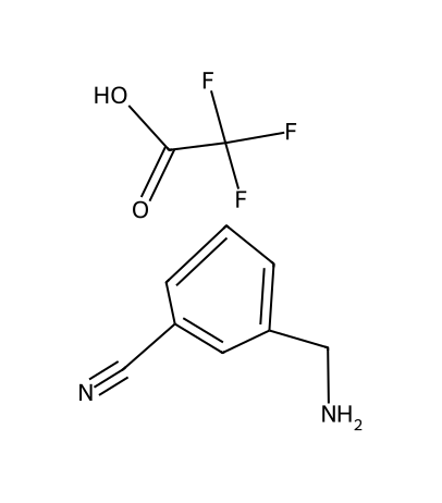 N#Cc1cccc(CN)c1.O=C(O)C(F)(F)F